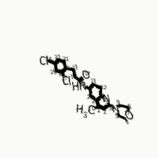 Cc1cc(N2CCOCC2)nc2ccc(NC(=O)/C=C/c3ccc(Cl)cc3Cl)cc12